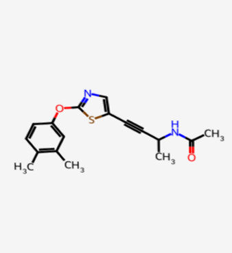 CC(=O)NC(C)C#Cc1cnc(Oc2ccc(C)c(C)c2)s1